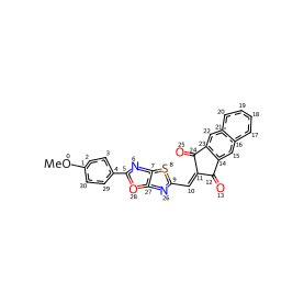 COc1ccc(-c2nc3sc(C=C4C(=O)c5cc6ccccc6cc5C4=O)nc3o2)cc1